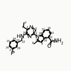 CCc1nnc(-n2c(C)cc3c(C(N)=O)cccc32)nc1NCc1cccc(F)c1